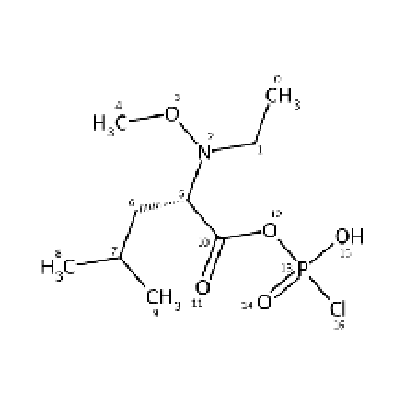 CCN(OC)[C@@H](CC(C)C)C(=O)OP(=O)(O)Cl